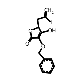 C=C(I)CC1OC(=O)C(OCc2ccccc2)=C1O